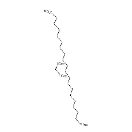 CCCCCCCCCCCCCCCCCCCCC.CCCCCCCCCCCCCCCCCCCCCCCCCCCCC(=O)O